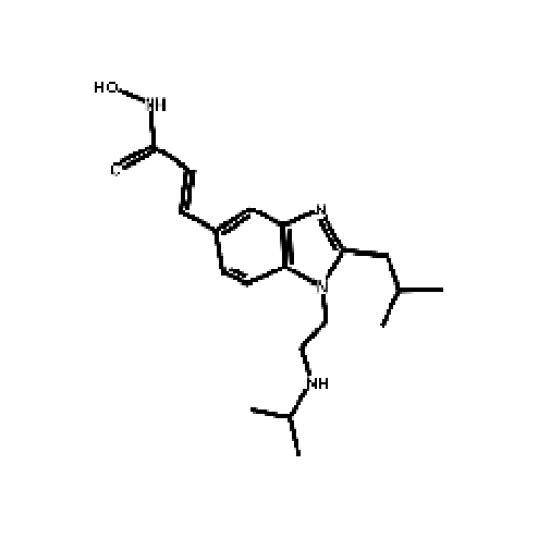 CC(C)Cc1nc2cc(C=CC(=O)NO)ccc2n1CCNC(C)C